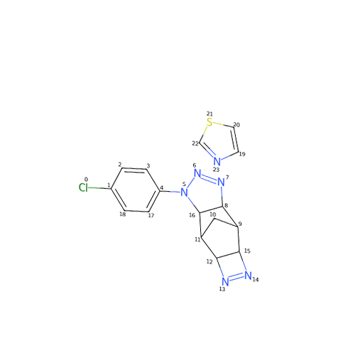 Clc1ccc(N2N=NC3C4CC(C5N=NC45)C32)cc1.c1cscn1